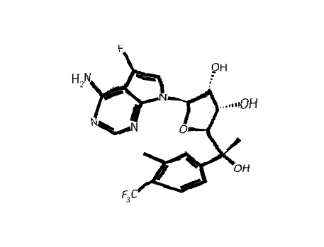 Cc1cc([C@@](C)(O)[C@H]2O[C@@H](n3cc(F)c4c(N)ncnc43)[C@H](O)[C@@H]2O)ccc1C(F)(F)F